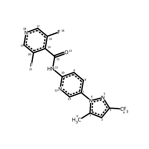 Cc1cc(C(F)(F)F)nn1-c1ccc(NC(=O)c2c(F)cncc2F)nc1